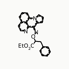 CCOC(=O)C(Cc1ccccc1)ON=c1c2nccc3cccc(c32)n2cccc12